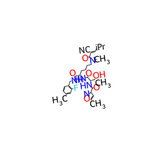 Cc1ccc(CNC(=O)C(CCCCN(C)C(=O)C(C#N)=CC(C)C)NC(=O)C(NC(=O)c2cc(C)on2)C(C)O)c(F)c1